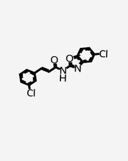 O=C(C=Cc1cccc(Cl)c1)Nc1nc2cc(Cl)ccc2o1